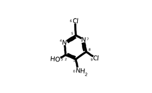 Nc1c(O)nc(Cl)nc1Cl